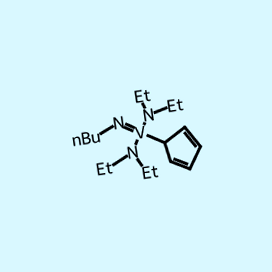 CCCC[N]=[V]([CH]1C=CC=C1)([N](CC)CC)[N](CC)CC